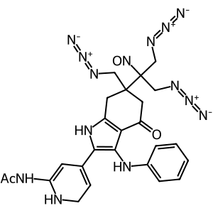 CC(=O)NC1=CC(c2[nH]c3c(c2Nc2ccccc2)C(=O)CC(CN=[N+]=[N-])(C(CN=[N+]=[N-])(CN=[N+]=[N-])N=O)C3)=CCN1